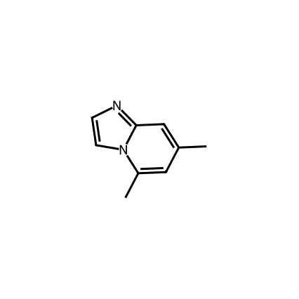 Cc1cc(C)n2ccnc2c1